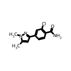 Cc1cc(-c2ccc(C(N)=O)c(Cl)c2)nn1C